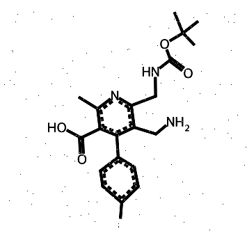 Cc1ccc(-c2c(CN)c(CNC(=O)OC(C)(C)C)nc(C)c2C(=O)O)cc1